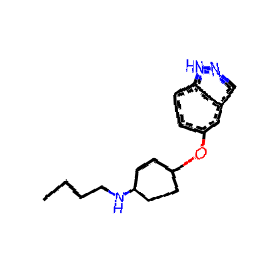 CCCCNC1CCC(Oc2ccc3[nH]ncc3c2)CC1